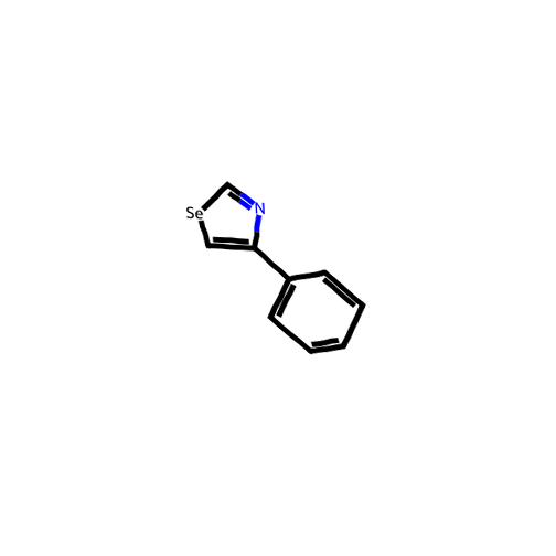 c1ccc(-c2c[se]cn2)cc1